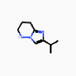 CC(C)c1cn2c(n1)CCCN2